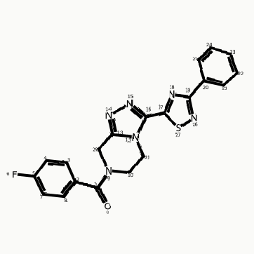 O=C(c1ccc(F)cc1)N1CCn2c(nnc2-c2nc(-c3ccccc3)ns2)C1